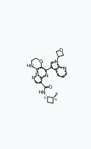 O=C(N[C@H]1CC[C@@H]1F)c1cnn2c3c(c(-c4cn(C5COC5)c5ncccc45)nc12)OCCN3